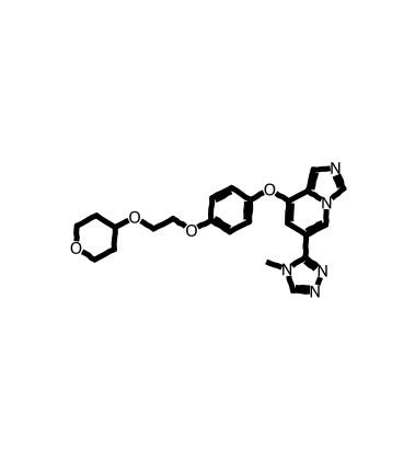 Cn1cnnc1-c1cc(Oc2ccc(OCCOC3CCOCC3)cc2)c2cncn2c1